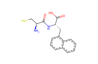 N[C@@H](CS)C(=O)N[C@@H](Cc1cccc2ccccc12)C(=O)O